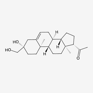 CC(=O)[C@H]1CC[C@H]2[C@@H]3CC=C4C[C@](O)(CO)CC[C@]4(C)[C@H]3CC[C@]12C